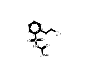 CNC(=O)NS(=O)(=O)c1ccccc1CCC(F)(F)F